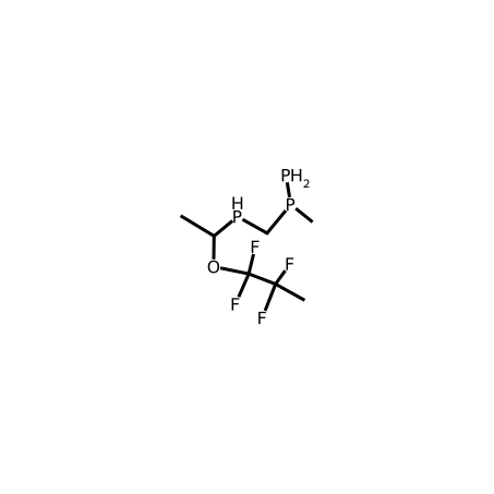 CC(OC(F)(F)C(C)(F)F)PCP(C)P